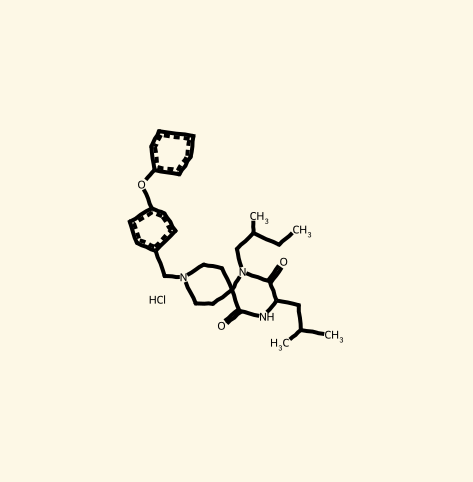 CCC(C)CN1C(=O)C(CC(C)C)NC(=O)C12CCN(Cc1ccc(Oc3ccccc3)cc1)CC2.Cl